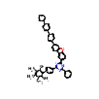 Bc1c(B)c(B)c(-c2ccc(-c3nc(-c4ccccc4)nc(-c4ccc5oc6cc(-c7ccc(-c8ccc(-c9ccccc9)cc8)cc7)ccc6c5c4)n3)cc2)c(B)c1B